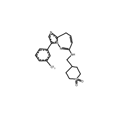 O=S1(=O)CCC(CNC2=Nn3c(-c4cccc(C(F)(F)F)c4)cnc3CC=C2)CC1